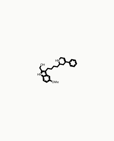 COc1ccc2[nH]c(CO)c(CCCCC3CC(c4ccccc4)=CCN3)c2c1